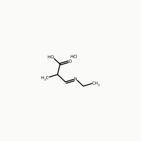 CCN=CC(C)C(=O)O.Cl